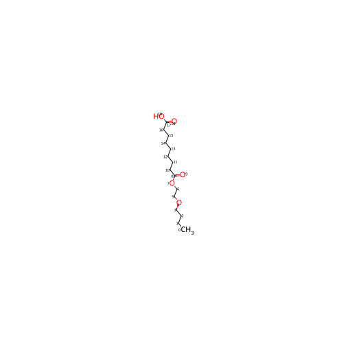 CCCCOCCOC(=O)CCCCCCCC(=O)O